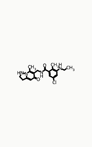 CCNc1cc(Cl)cc(C(=O)NCc2c(C)n3c(cc2=O)CCN3)c1C